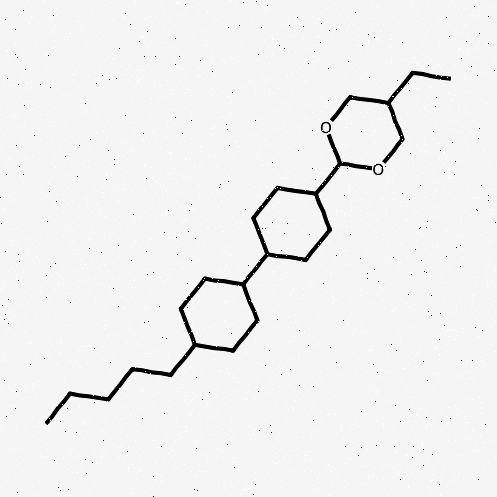 CCCCCC1CCC(C2CCC(C3OCC(CC)CO3)CC2)CC1